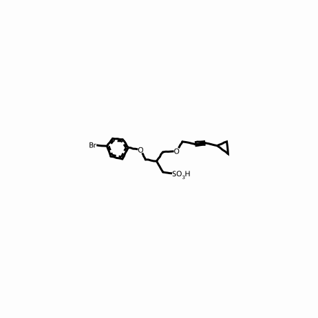 O=S(=O)(O)CC(COCC#CC1CC1)COc1ccc(Br)cc1